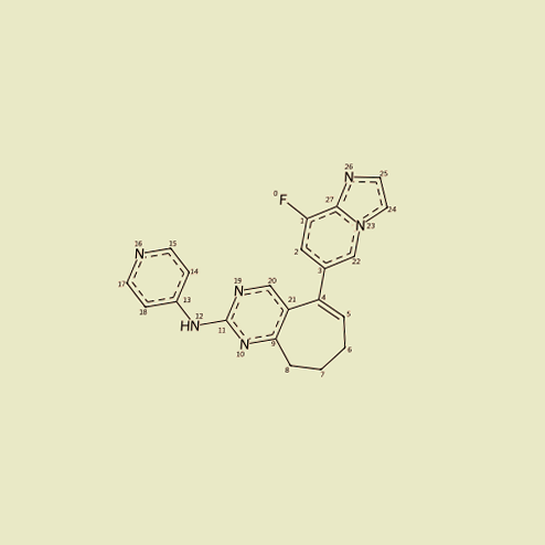 Fc1cc(C2=CCCCc3nc(Nc4ccncc4)ncc32)cn2ccnc12